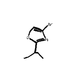 CC(C)c1nc(Br)co1